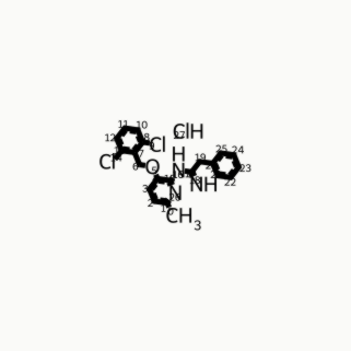 Cc1ccc(OCc2c(Cl)cccc2Cl)c(NC(=N)Cc2ccccc2)n1.Cl